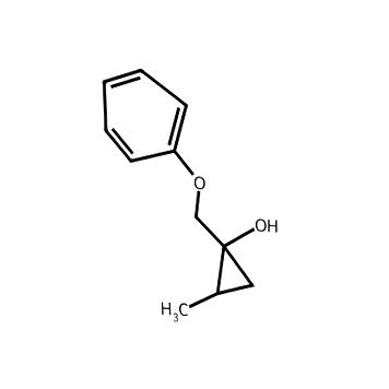 CC1CC1(O)COc1ccccc1